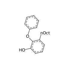 CCCCCCCCc1cccc(O)c1Oc1ccccc1